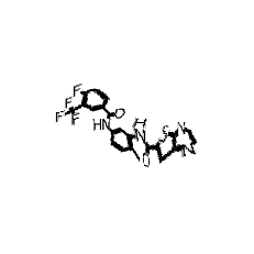 Cc1ccc(NC(=O)c2ccc(F)c(C(F)(F)F)c2)cc1NC(=O)c1cc2nccnc2s1